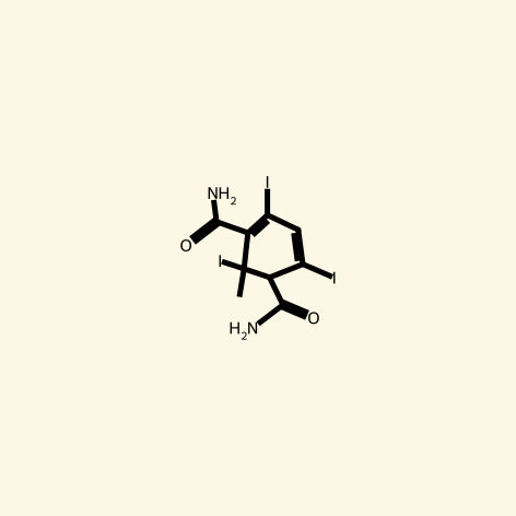 CC1(I)C(C(N)=O)=C(I)C=C(I)C1C(N)=O